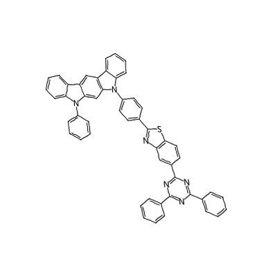 c1ccc(-c2nc(-c3ccccc3)nc(-c3ccc4sc(-c5ccc(-n6c7ccccc7c7cc8c9ccccc9n(-c9ccccc9)c8cc76)cc5)nc4c3)n2)cc1